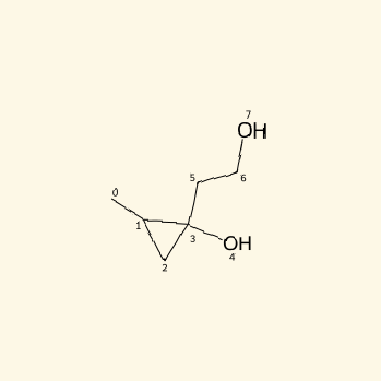 CC1CC1(O)CCO